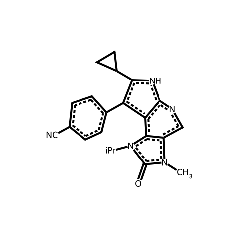 CC(C)n1c(=O)n(C)c2cnc3[nH]c(C4CC4)c(-c4ccc(C#N)cc4)c3c21